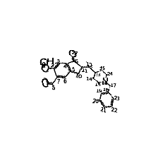 COc1cc2c(cc1C=O)CC(CC1CCN(Cc3ccccc3)CC1)C2=O